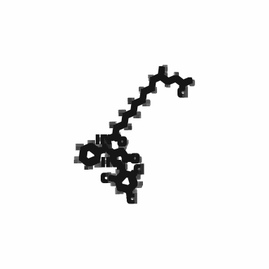 CC(Cl)CCC(C)CCCCCCCCCC(=O)NN(c1ccccc1)c1cc(=O)n(-c2c(Cl)cc(Cl)cc2Cl)[nH]1